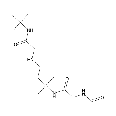 CC(C)(C)NC(=O)CNCCC(C)(C)NC(=O)CNC=O